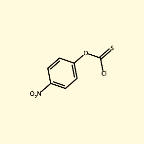 O=[N+]([O-])c1ccc(OC(=S)Cl)cc1